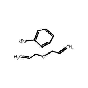 C=CCOCC=C.CC(C)(C)c1ccccc1